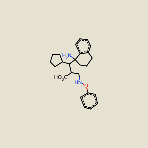 NC1(C(C2CCCC2)C(CNOc2ccccc2)C(=O)O)CCCc2ccccc21